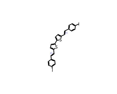 Ic1ccc(/C=C/c2ccc(-c3ccc(/C=C/c4ccc(I)cc4)s3)s2)cc1